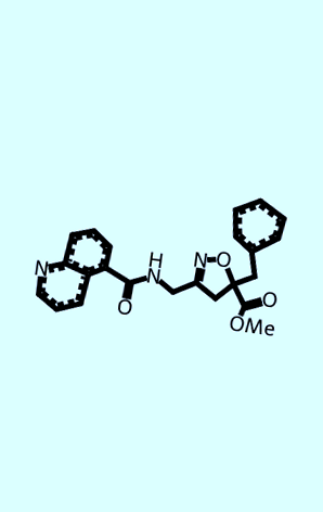 COC(=O)C1(Cc2ccccc2)CC(CNC(=O)c2cccc3ncccc23)=NO1